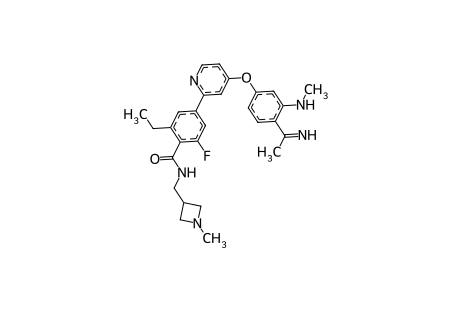 CCc1cc(-c2cc(Oc3ccc(C(C)=N)c(NC)c3)ccn2)cc(F)c1C(=O)NCC1CN(C)C1